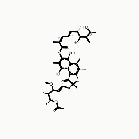 COC(/C=C/OC1(C)Oc2c(C)c(C)c3c(O)c(NC(=O)/C(C)=C\C=C\[C@H](C)C(O)C(C)[C@H](C)O)c(C)c(O)c3c2C1=O)C(C)[C@H](C)OC(C)=O